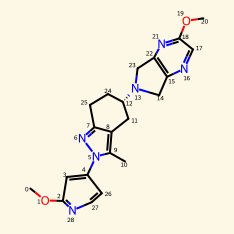 COc1cc(-n2nc3c(c2C)C[C@@H](N2Cc4ncc(OC)nc4C2)CC3)ccn1